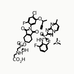 C#CC(C)Oc1cc(N2C(=O)C3=C(CCCC3)C2=O)c(F)cc1Cl.C[S+](C)C.Cc1ccn2nc(S(=O)(=O)Nc3c(F)cccc3F)nc2n1.O=C(O)CNCP(=O)([O-])O